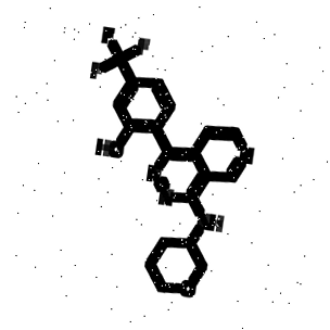 Oc1cc(C(F)(F)F)ccc1-c1nnc(NC2CCCOC2)c2cnccc12